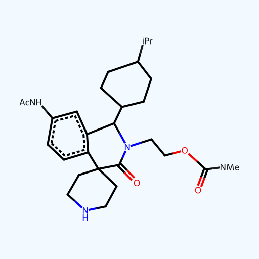 CNC(=O)OCCN1C(=O)C2(CCNCC2)c2ccc(NC(C)=O)cc2C1C1CCC(C(C)C)CC1